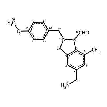 NCc1cc2c(c(C(F)(F)F)c1)C(C=O)N(Cc1ccc(OC(F)(F)F)cc1)C2